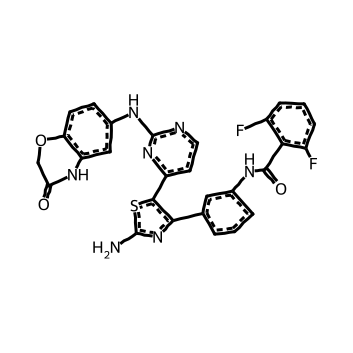 Nc1nc(-c2cccc(NC(=O)c3c(F)cccc3F)c2)c(-c2ccnc(Nc3ccc4c(c3)NC(=O)CO4)n2)s1